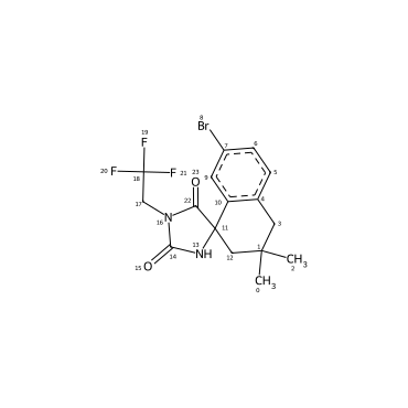 CC1(C)Cc2ccc(Br)cc2C2(C1)NC(=O)N(CC(F)(F)F)C2=O